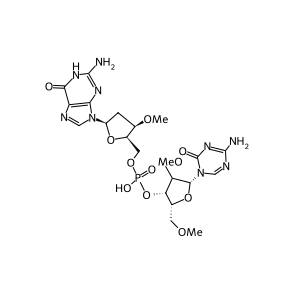 COC[C@H]1O[C@@H](n2cnc(N)nc2=O)C(OC)[C@H]1OP(=O)(O)OC[C@H]1O[C@@H](n2cnc3c(=O)[nH]c(N)nc32)C[C@H]1OC